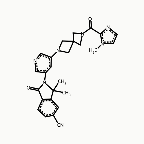 Cn1ccnc1C(=O)N1CC2(C1)CN(c1cncc(N3C(=O)c4ccc(C#N)cc4C3(C)C)c1)C2